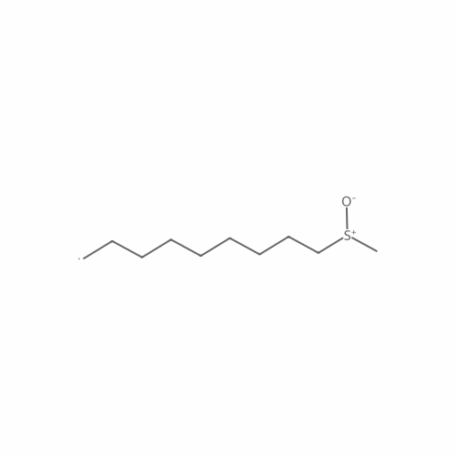 [CH2]CCCCCCCC[S+](C)[O-]